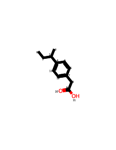 CCC(C)c1ccc(CC(=O)O)cc1